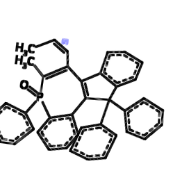 C/C=C\C1=C(C)P(=O)(c2ccccc2)c2ccccc2C2=C1c1ccccc1C2(c1ccccc1)c1ccccc1